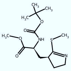 COC(=O)[C@H](C[C@@H]1CCN=C1SC)NC(=O)OC(C)(C)C